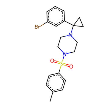 Cc1ccc(S(=O)(=O)N2CCN(C3(c4cccc(Br)c4)CC3)CC2)cc1